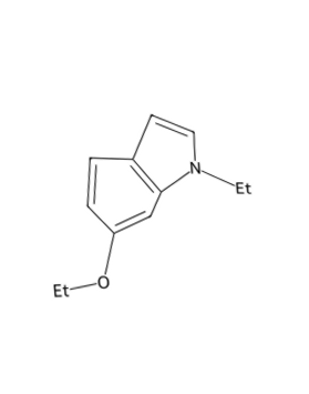 CCOc1ccc2ccn(CC)c2c1